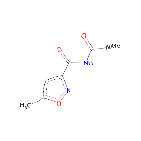 CNC(=O)NC(=O)c1cc(C)on1